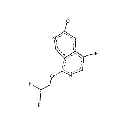 FC(F)COc1ncc(Br)c2cc(Cl)ncc12